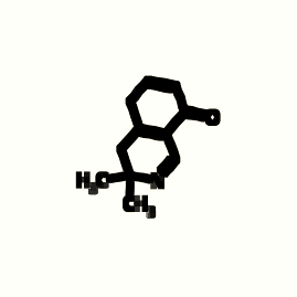 CC1(C)CC2=C(C=N1)C(=O)C=CC2